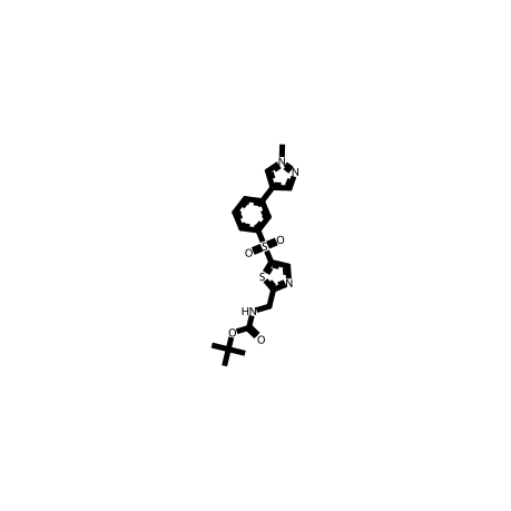 Cn1cc(-c2cccc(S(=O)(=O)c3cnc(CNC(=O)OC(C)(C)C)s3)c2)cn1